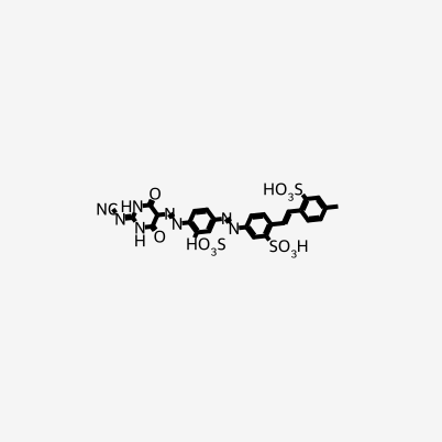 Cc1ccc(/C=C/c2ccc(N=Nc3ccc(N=NC4C(=O)NC(=NC#N)NC4=O)c(S(=O)(=O)O)c3)cc2S(=O)(=O)O)c(S(=O)(=O)O)c1